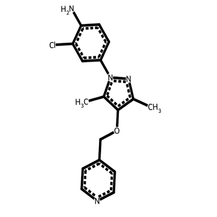 Cc1nn(-c2ccc(N)c(Cl)c2)c(C)c1OCc1ccncc1